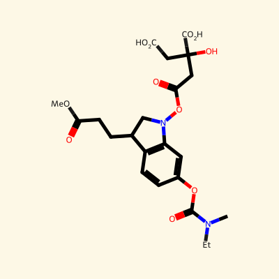 CCN(C)C(=O)Oc1ccc2c(c1)N(OC(=O)CC(O)(CC(=O)O)C(=O)O)CC2CCC(=O)OC